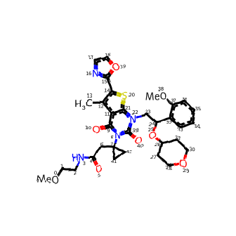 COCCNC(=O)CC1(n2c(=O)c3c(C)c(-c4ncco4)sc3n(CC(OC3CCOCC3)c3ccccc3OC)c2=O)CC1